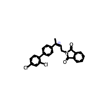 C/C(=C/CN1C(=O)c2ccccc2C1=O)c1ccc(-c2ccc(Cl)cc2Cl)cc1